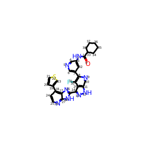 O=C(Nc1cncc(-c2ncc3[nH]nc(-c4nc5c(-c6ccsc6)ccnc5[nH]4)c3c2F)c1)C1CCCCC1